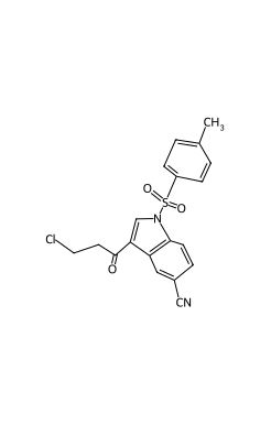 Cc1ccc(S(=O)(=O)n2cc(C(=O)CCCl)c3cc(C#N)ccc32)cc1